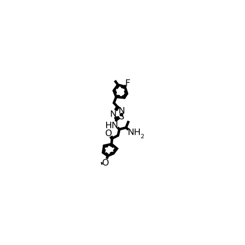 COc1ccc(C(=O)CC(Nc2nc(Cc3ccc(F)c(C)c3)ns2)C(C)N)cc1